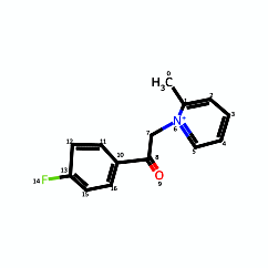 Cc1cccc[n+]1CC(=O)c1ccc(F)cc1